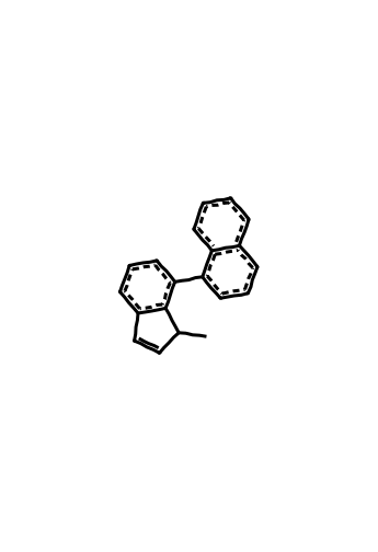 CC1C=Cc2cccc(-c3cccc4ccccc34)c21